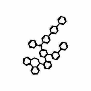 c1ccc(-c2ccc(-c3ccc(N(c4ccccc4)c4ccc(-c5ccccc5C5CCc6ccccc6-c6ccccc65)c(-c5cccc(-c6ccccc6)c5)c4)cc3)cc2)cc1